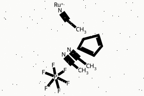 CC#N.CC#N.CC#N.F[P-](F)(F)(F)(F)F.[CH]1C=CC=C1.[Ru+]